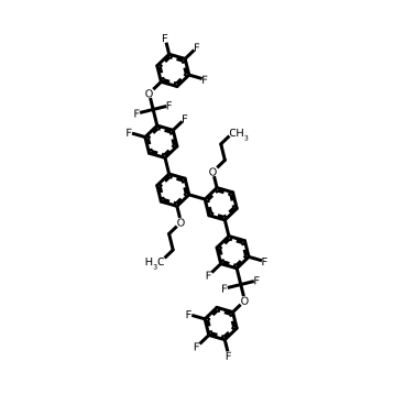 CCCOc1ccc(-c2cc(F)c(C(F)(F)Oc3cc(F)c(F)c(F)c3)c(F)c2)cc1-c1cc(-c2cc(F)c(C(F)(F)Oc3cc(F)c(F)c(F)c3)c(F)c2)ccc1OCCC